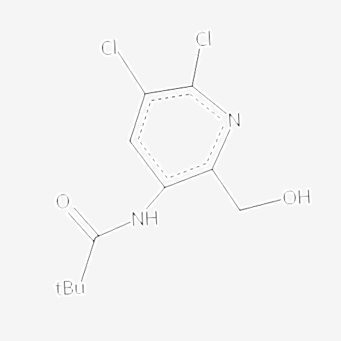 CC(C)(C)C(=O)Nc1cc(Cl)c(Cl)nc1CO